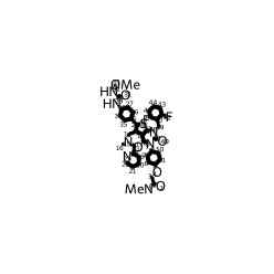 CNC(=O)COc1ccc(-n2c(=O)c3c(CN(C)Cc4ccccn4)c(-c4ccc(NC(=O)NOC)cc4)sc3n(Cc3c(F)cccc3F)c2=O)cc1